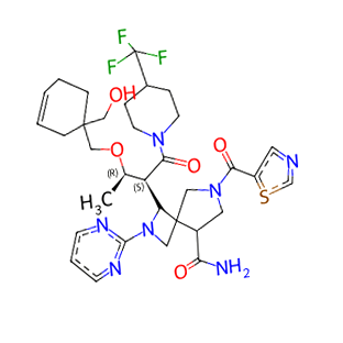 C[C@@H](OCC1(CO)CC=CCC1)[C@@H](C(=O)N1CCC(C(F)(F)F)CC1)C1N(c2ncccn2)CC12CN(C(=O)c1cncs1)CC2C(N)=O